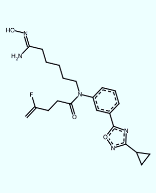 C=C(F)CCC(=O)N(CCCCC/C(N)=N/O)c1cccc(-c2nc(C3CC3)no2)c1